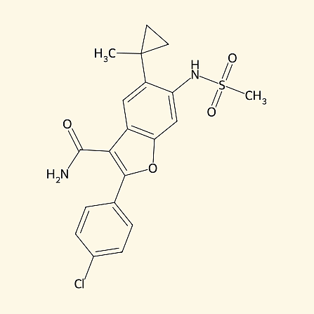 CC1(c2cc3c(C(N)=O)c(-c4ccc(Cl)cc4)oc3cc2NS(C)(=O)=O)CC1